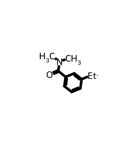 C[CH]c1cccc(C(=O)N(C)C)c1